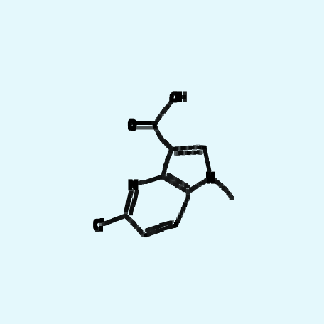 Cn1cc(C(=O)O)c2nc(Cl)ccc21